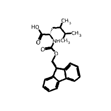 CC(C)C(C)C[C@H](NC(=O)OCC1c2ccccc2-c2ccccc21)C(=O)O